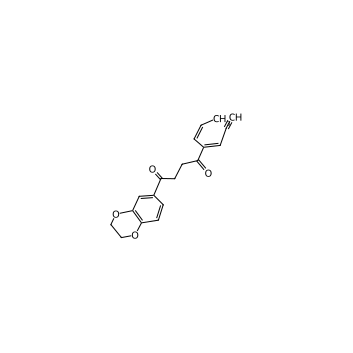 C#C/C=C(\C=C/C)C(=O)CCC(=O)c1ccc2c(c1)OCCO2